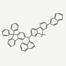 CC1(C)c2cc(-c3ccc4ccccc4c3)ccc2-c2ccc(N(c3ccc4c(c3)-c3ccccc3C4(c3ccccc3)c3ccccc3)c3cccc4ccccc34)cc21